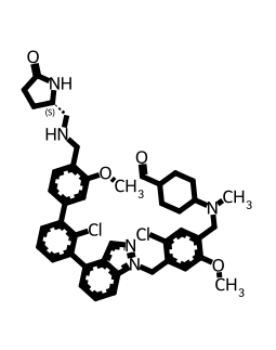 COc1cc(-c2cccc(-c3cccc4c3cnn4Cc3cc(OC)c(CN(C)C4CCC(C=O)CC4)cc3Cl)c2Cl)ccc1CNC[C@@H]1CCC(=O)N1